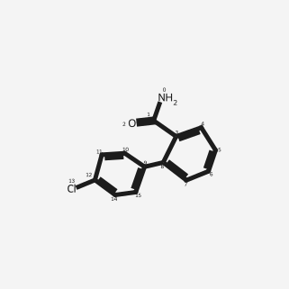 NC(=O)c1c[c]ccc1-c1ccc(Cl)cc1